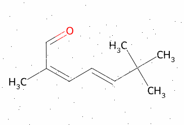 CC(C=O)=CC=CC(C)(C)C